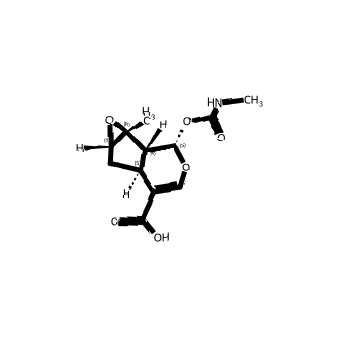 CNC(=O)O[C@@H]1OC=C(C(=O)O)[C@H]2C[C@@H]3O[C@]3(C)[C@H]12